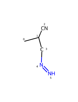 CC(C#N)CN=N